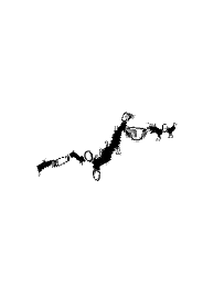 CCOCCOC(=O)C#CC#CC(=O)OCCOCC